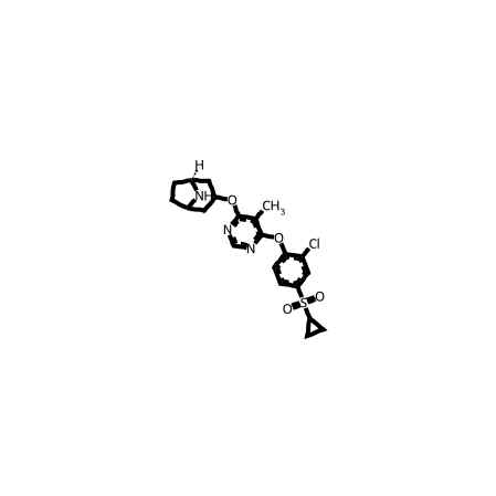 Cc1c(Oc2ccc(S(=O)(=O)C3CC3)cc2Cl)ncnc1OC1CC2CC[C@@H](C1)N2